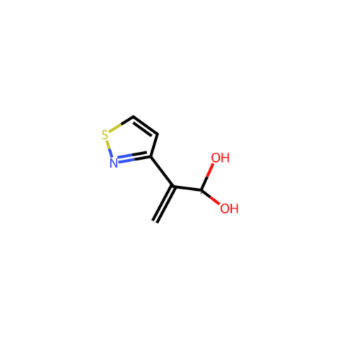 C=C([C](O)O)c1ccsn1